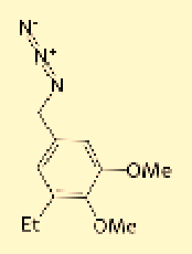 CCc1cc(CN=[N+]=[N-])cc(OC)c1OC